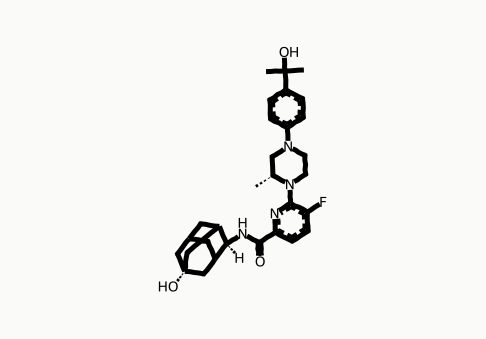 C[C@@H]1CN(c2ccc(C(C)(C)O)cc2)CCN1c1nc(C(=O)N[C@H]2C3CC4CC2C[C@](O)(C4)C3)ccc1F